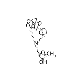 C[C@@H]1C[C@H](O)C[C@@H](CCCN(CCCCCC(=O)ON2C(=O)CCC2=O)CCC[C@H]2CCC[C@H](C)O2)O1